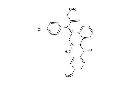 COc1ccc(C(=O)N2c3ccccc3[C@H](N(C(=O)COC(C)=O)c3ccc(Cl)cc3)C[C@H]2C)cc1